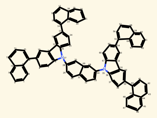 c1ccc2c(-c3ccc4c(c3)c3cc(-c5cccc6ccccc56)ccc3n4-c3ccc4ccc(-n5c6ccc(-c7cccc8ccccc78)cc6c6cc(-c7cccc8ccccc78)ccc65)cc4c3)cccc2c1